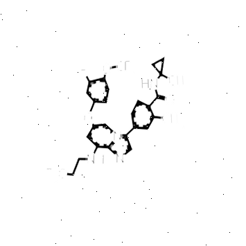 Cc1cc(-c2cnc3c(NCCC(F)(F)F)cc(Oc4ccc(OC(F)(F)F)c(F)c4)cn23)ccc1C(=O)NC1(C)CC1